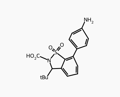 CC(C)(C)C1c2cccc(-c3ccc(N)cc3)c2S(=O)(=O)N1C(=O)O